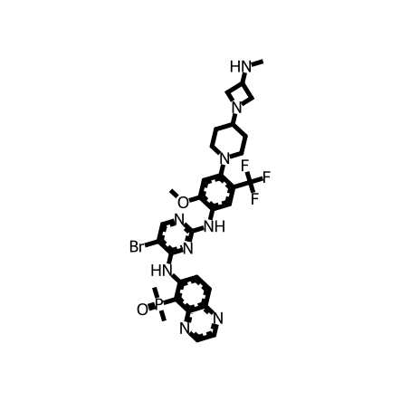 CNC1CN(C2CCN(c3cc(OC)c(Nc4ncc(Br)c(Nc5ccc6nccnc6c5P(C)(C)=O)n4)cc3C(F)(F)F)CC2)C1